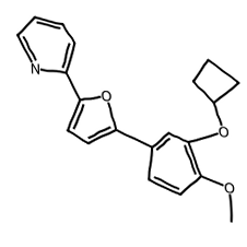 COc1ccc(-c2ccc(-c3ccccn3)o2)cc1OC1CCC1